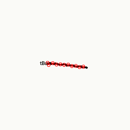 C=CCOCCOCCOCCOCCOCCOCCOCCOCCOCCC(=O)OC(C)(C)C